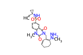 C#CC1(NS(=O)(=O)c2ccc3c(c2)c(=O)n(CC2=C(N(C)N)CCCC=C2)c(=O)n3C)CC1